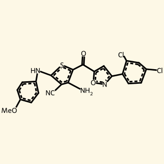 COc1ccc(Nc2sc(C(=O)c3cc(-c4ccc(Cl)cc4Cl)no3)c(N)c2C#N)cc1